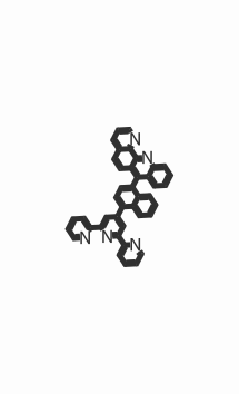 c1ccc(-c2cc(-c3ccc(-c4c5ccccc5nc5c4ccc4cccnc45)c4ccccc34)cc(-c3ccccn3)n2)nc1